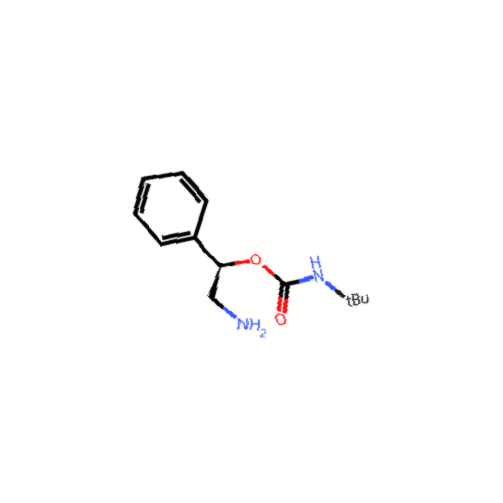 CC(C)(C)NC(=O)O[C@@H](CN)c1ccccc1